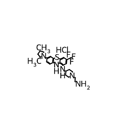 CC1CC(C)N(c2ccc3c(c2)Sc2cc(C(F)(F)F)cc(NC4CCN(CCN)CC4)c2N3)C1.Cl